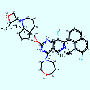 C#Cc1c(F)ccc2cccc(-c3ncc4c(N5CCCOCC5)nc(OC[C@]56CCC[C@H]5N(C5COC5C)CCC6)nc4c3F)c12